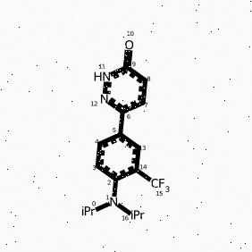 CC(C)N(c1ccc(-c2ccc(=O)[nH]n2)cc1C(F)(F)F)C(C)C